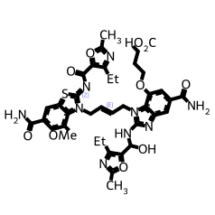 CCc1nc(C)oc1C(=O)/N=c1\sc2cc(C(N)=O)cc(OC)c2n1C/C=C/Cn1c(NC(O)c2oc(C)nc2CC)nc2cc(C(N)=O)cc(OCCCC(=O)O)c21